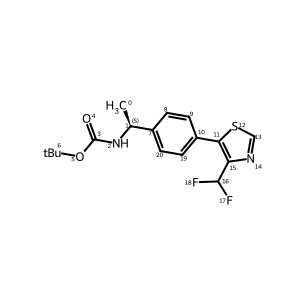 C[C@H](NC(=O)OC(C)(C)C)c1ccc(-c2scnc2C(F)F)cc1